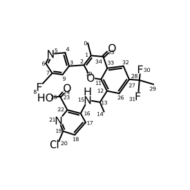 Cc1c(-c2cncc(F)c2)oc2c(C(C)Nc3ccc(Cl)nc3C(=O)O)cc(C(C)(F)F)cc2c1=O